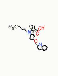 CCCCCn1c(C)c(CC(=O)O)c2cc(OCc3ccc4ccccc4n3)ccc21